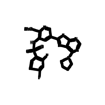 COc1ncc(-c2nc3c(N4CCCC4)ncnc3s2)cc1NS(=O)(=O)c1ccc(F)cc1F